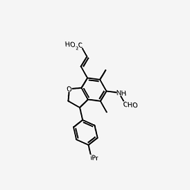 Cc1c(/C=C/C(=O)O)c2c(c(C)c1NC=O)C(c1ccc(C(C)C)cc1)CO2